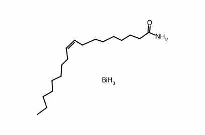 CCCCCCCC/C=C\CCCCCCCC(N)=O.[BiH3]